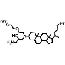 CCCOCCOCCN(CC(O)CN)C1CCC2(C)C(=CCC3C2CCC2(C)C(C(C)CCCC(C)C)CCC32)C1